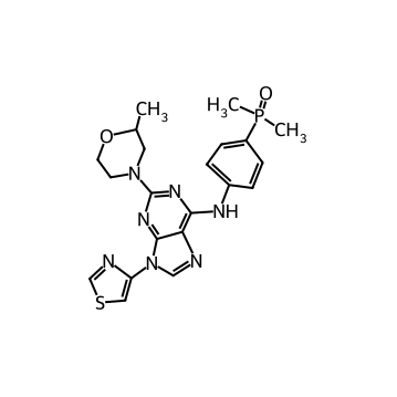 CC1CN(c2nc(Nc3ccc(P(C)(C)=O)cc3)c3ncn(-c4cscn4)c3n2)CCO1